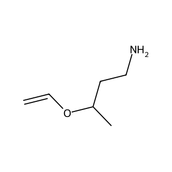 C=COC(C)CCN